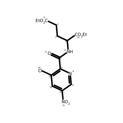 CCOC(=O)CCC(NC(=O)c1ncc([N+](=O)[O-])cc1Cl)C(=O)OCC